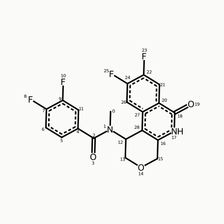 CN(C(=O)c1ccc(F)c(F)c1)C1COCc2[nH]c(=O)c3cc(F)c(F)cc3c21